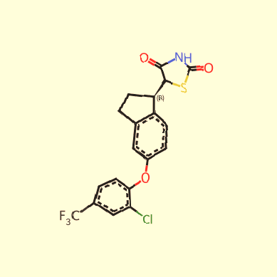 O=C1NC(=O)C([C@@H]2CCc3cc(Oc4ccc(C(F)(F)F)cc4Cl)ccc32)S1